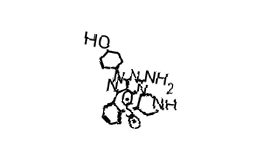 Nc1ncc2c(-c3ccccc3S(=O)(=O)C3CCNCC3)nn(C3CCC(O)CC3)c2n1